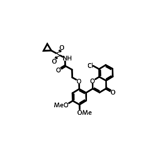 COc1cc(OCCC(=O)NS(=O)(=O)C2CC2)c(-c2cc(=O)c3cccc(Cl)c3o2)cc1OC